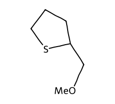 [CH2]OCC1CCCS1